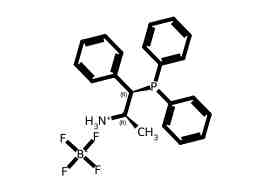 C[C@@H]([NH3+])[C@@H](c1ccccc1)P(c1ccccc1)c1ccccc1.F[B-](F)(F)F